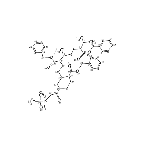 CC(C)C(CCC(C)C(CCC1CC(C(=O)CCC(C)(C)C)CCC1C(=O)OCc1ccccc1)C(=O)OCc1ccccc1)C(=O)OCc1ccccc1